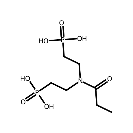 CCC(=O)N(CCP(=O)(O)O)CCP(=O)(O)O